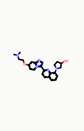 CN(C)CCOc1ccn2c(-c3ccc4cccc(N5CCC(O)C5)c4n3)cnc2c1